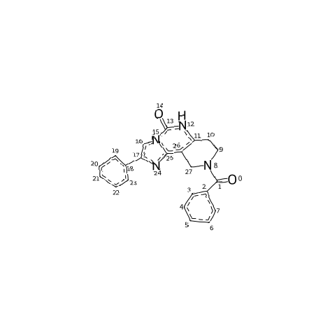 O=C(c1ccccc1)N1CCc2[nH]c(=O)n3cc(-c4ccccc4)nc3c2C1